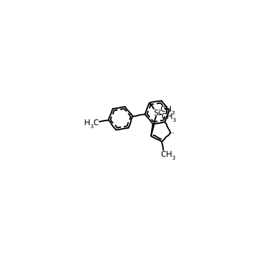 CC1=C2c3c(ccc(c3-c3ccc(C)cc3)[Si]2(C)C)[CH]1